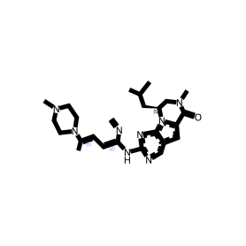 C=N/C(=C\C=C(/C)N1CCN(C)CC1)Nc1ncc2cc3n(c2n1)[C@@H](CC(C)C)CN(C)C3=O